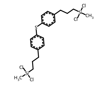 C[Si](Cl)(Cl)CCCc1ccc(Sc2ccc(CCC[Si](C)(Cl)Cl)cc2)cc1